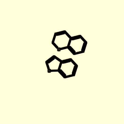 C1=Cc2ccccc2OC1.c1ccc2occc2c1